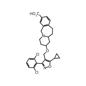 O=C(O)c1ccc2c(c1)CN1CCC(OCc3c(-c4c(Cl)cccc4Cl)noc3C3CC3)CC1CC2